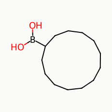 OB(O)C1CCCCCCCCCCCC1